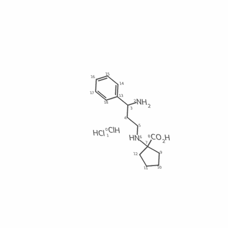 Cl.Cl.NC(CCNC1(C(=O)O)CCCC1)c1ccccc1